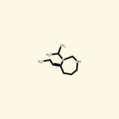 CC/C=C1/CCCNCN1C(C)C